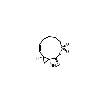 N[C@]12C[C@H]1/C=C\CCCCS(=O)(=O)NC2=O